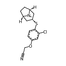 CN1[C@@H]2CC[C@H]1C[C@H](Sc1ccc(OCC#N)cc1Cl)C2